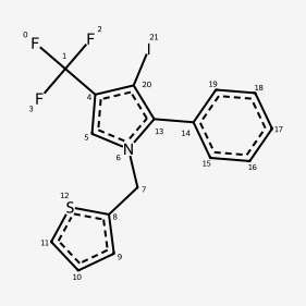 FC(F)(F)c1cn(Cc2cccs2)c(-c2ccccc2)c1I